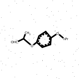 CCCOc1ccc(OC(C)[C]=O)cc1